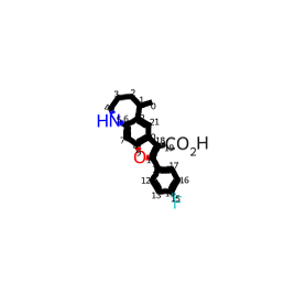 CC1CCCNc2cc3oc(-c4ccc(F)cc4)c(C(=O)O)c3cc21